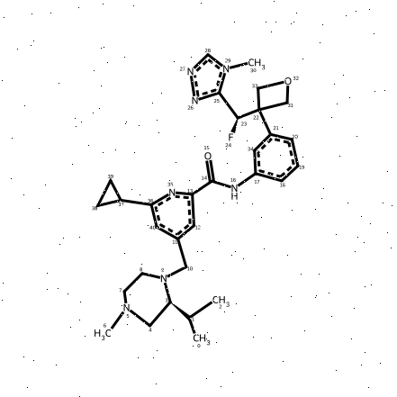 CC(C)[C@H]1CN(C)CCN1Cc1cc(C(=O)Nc2cccc(C3([C@@H](F)c4nncn4C)COC3)c2)nc(C2CC2)c1